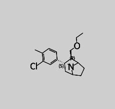 CCOC[C@H]1C2CCC(C[C@@H]1c1ccc(C)c(Cl)c1)N2C